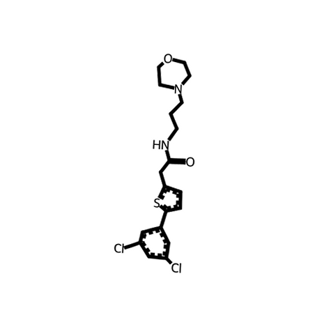 O=C(Cc1ccc(-c2cc(Cl)cc(Cl)c2)s1)NCCCN1CCOCC1